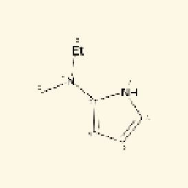 CCN(C)c1ccc[nH]1